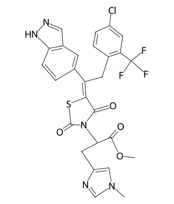 COC(=O)C(Cc1cn(C)cn1)N1C(=O)S/C(=C(/Cc2ccc(Cl)cc2C(F)(F)F)c2ccc3[nH]ncc3c2)C1=O